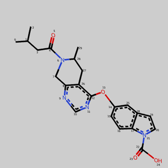 CC(C)CC(=O)N1Cc2ncnc(Oc3ccc4c(ccn4C(=O)O)c3)c2CC1C